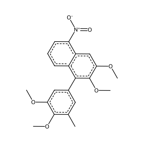 COc1cc(-c2c(OC)c(OC)cc3c([N+](=O)[O-])cccc23)cc(C)c1OC